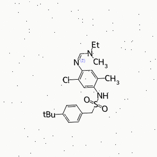 CCN(C)/C=N\c1cc(C)c(NS(=O)(=O)Cc2ccc(C(C)(C)C)cc2)cc1Cl